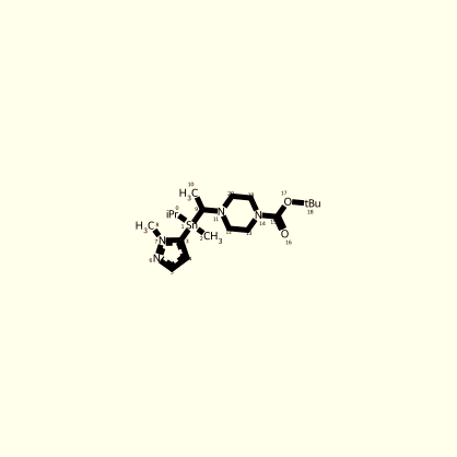 C[CH](C)[Sn]([CH3])([c]1ccnn1C)[CH](C)N1CCN(C(=O)OC(C)(C)C)CC1